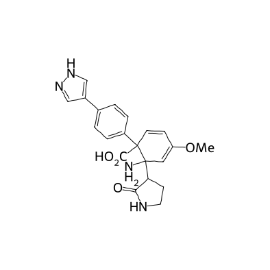 COC1=CC(N)(C2CCNC2=O)C(C(=O)O)(c2ccc(-c3cn[nH]c3)cc2)C=C1